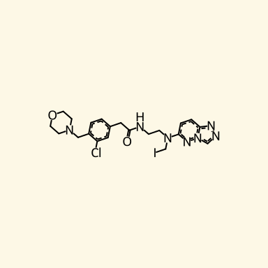 O=C(Cc1ccc(CN2CCOCC2)c(Cl)c1)NCCN(CI)c1ccc2nncn2n1